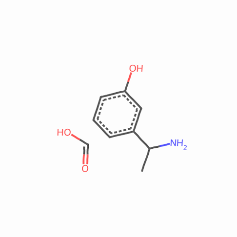 CC(N)c1cccc(O)c1.O=CO